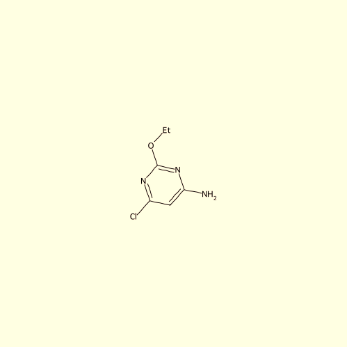 CCOc1nc(N)cc(Cl)n1